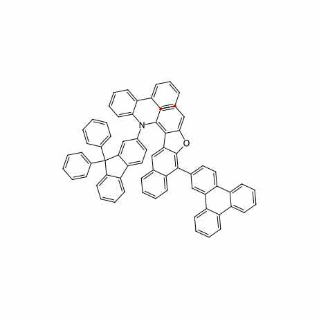 c1ccc(-c2ccccc2N(c2ccc3c(c2)C(c2ccccc2)(c2ccccc2)c2ccccc2-3)c2cccc3oc4c(-c5ccc6c7ccccc7c7ccccc7c6c5)c5ccccc5cc4c23)cc1